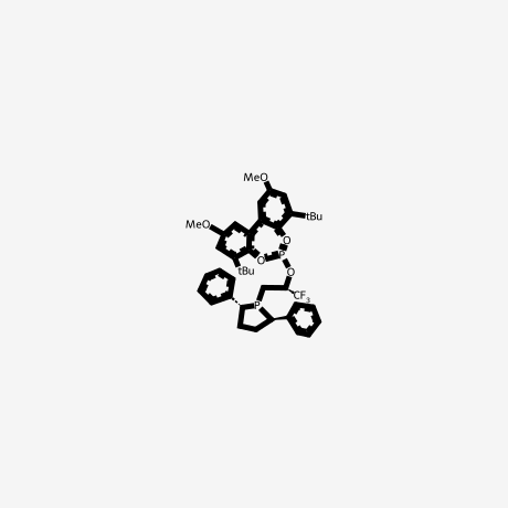 COc1cc(C(C)(C)C)c2op(O[C@@H](CP3[C@@H](c4ccccc4)CC[C@@H]3c3ccccc3)C(F)(F)F)oc3c(C(C)(C)C)cc(OC)cc3c2c1